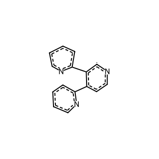 [c]1nccc(-c2ccccn2)c1-c1ccccn1